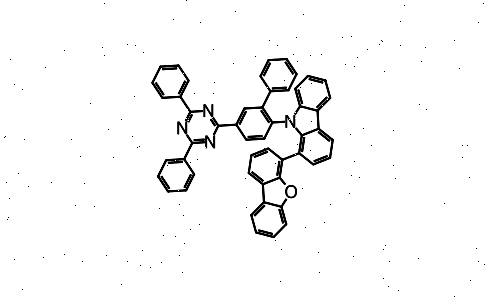 c1ccc(-c2nc(-c3ccccc3)nc(-c3ccc(-n4c5ccccc5c5cccc(-c6cccc7c6oc6ccccc67)c54)c(-c4ccccc4)c3)n2)cc1